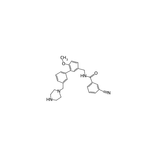 COc1ccc(CNC(=O)c2cccc(C#N)c2)cc1-c1cccc(CN2CCNCC2)c1